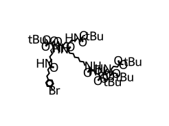 CC(C)(C)OC(=O)CCC(NC(=O)NC(CCC(=O)NCCCCCCCC(=O)NC(CCCCNC(=O)OC(C)(C)C)C(=O)N[C@@H](CCCCNC(=O)CCCc1ccc(Br)cc1)C(=O)C(=O)OC(C)(C)C)C(=O)OC(C)(C)C)C(=O)OC(C)(C)C